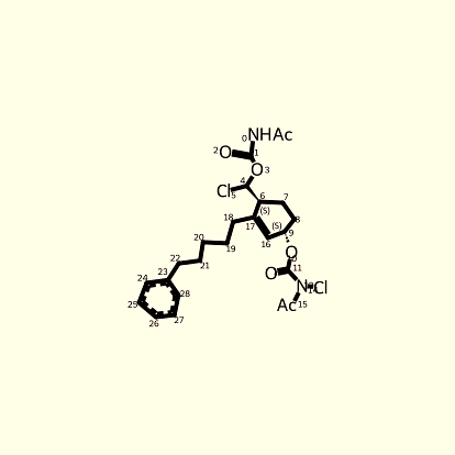 CC(=O)NC(=O)OC(Cl)[C@H]1CC[C@H](OC(=O)N(Cl)C(C)=O)C=C1CCCCCc1ccccc1